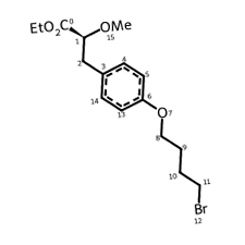 CCOC(=O)[C@H](Cc1ccc(OCCCCBr)cc1)OC